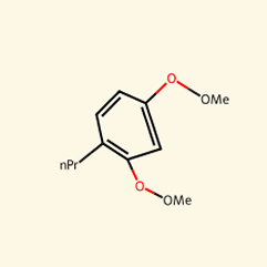 CCCc1ccc(OOC)cc1OOC